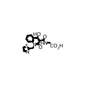 O=C(O)CNC(=O)c1c(O)c2ccccc2n(Cc2nccs2)c1=O